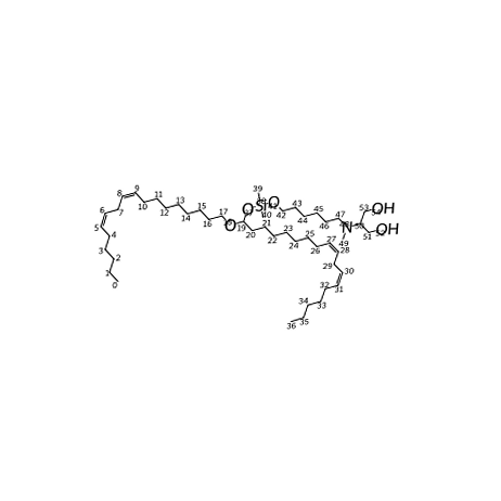 CCCCC/C=C\C/C=C\CCCCCCCCOC(CCCCCCC/C=C\C/C=C\CCCCC)O[Si](C)(C)OCCCCCCN(C)C(CO)CO